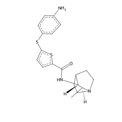 C[C@H]1[C@H](NC(=O)c2ccc(Sc3ccc(N)cc3)s2)C2CCN1CC2